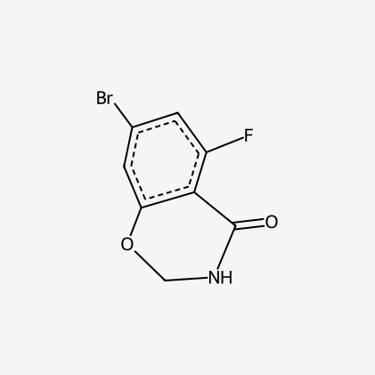 O=C1NCOc2cc(Br)cc(F)c21